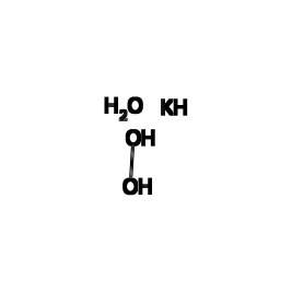 O.OO.[KH]